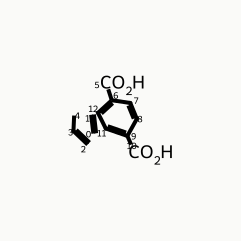 C=C.C=CC.O=C(O)c1ccc(C(=O)O)cc1